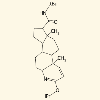 CC(C)OC1=NC2CCC3C(CCC4(C)C(C(=O)NC(C)(C)C)CCC34)C2(C)C=C1